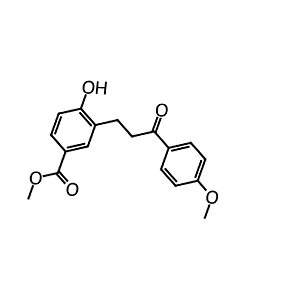 COC(=O)c1ccc(O)c(CCC(=O)c2ccc(OC)cc2)c1